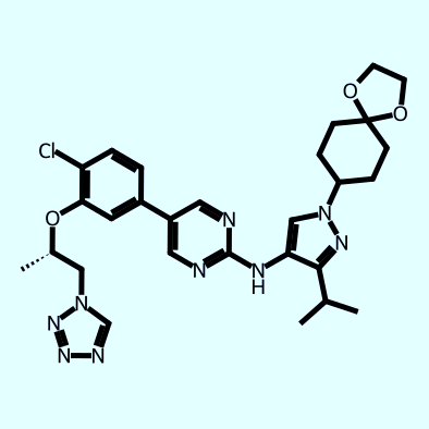 CC(C)c1nn(C2CCC3(CC2)OCCO3)cc1Nc1ncc(-c2ccc(Cl)c(O[C@@H](C)Cn3cnnn3)c2)cn1